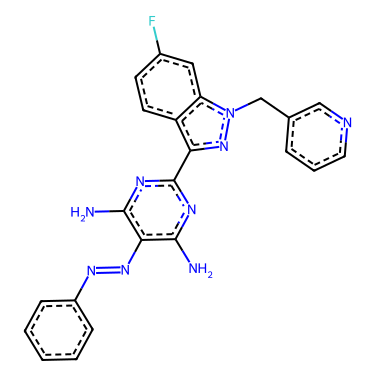 Nc1nc(-c2nn(Cc3cccnc3)c3cc(F)ccc23)nc(N)c1N=Nc1ccccc1